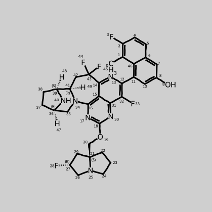 Cc1c(F)ccc2cc(O)cc(-c3nc4c5c(nc(OC[C@@]67CCCN6C[C@H](F)C7)nc5c3F)N3C[C@H]5CC[C@H](N5)[C@H]3CC4(F)F)c12